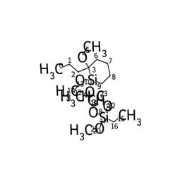 CCCC1(OC)CCCC[Si]1(OC)OC.CC[Si](OC)(OC)OC